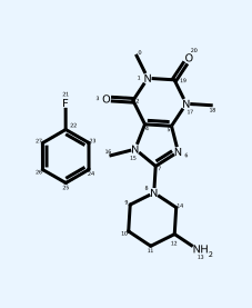 Cn1c(=O)c2c(nc(N3CCCC(N)C3)n2C)n(C)c1=O.Fc1ccccc1